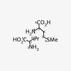 CC(C)C(N)C(=O)O.CSCCC(N)C(=O)O